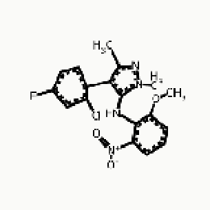 COc1cccc([N+](=O)[O-])c1Nc1c(-c2ccc(F)cc2Cl)c(C)nn1C